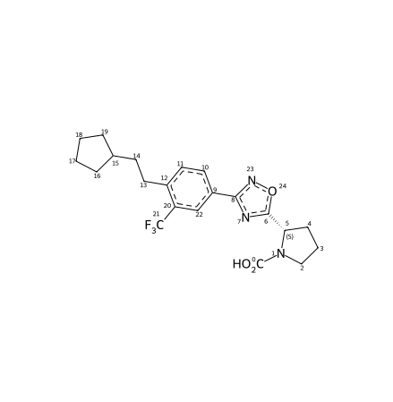 O=C(O)N1CCC[C@H]1c1nc(-c2ccc(CCC3CCCC3)c(C(F)(F)F)c2)no1